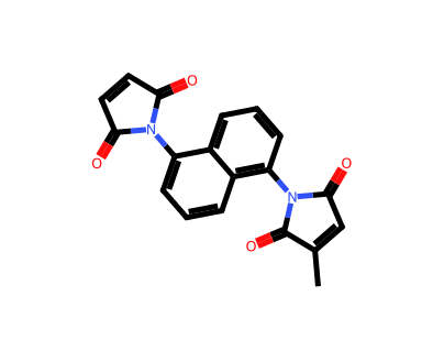 CC1=CC(=O)N(c2cccc3c(N4C(=O)C=CC4=O)cccc23)C1=O